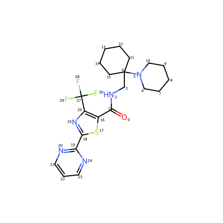 O=C(NCC1(N2CCCCC2)CCCCC1)c1sc(-c2ncccn2)nc1C(F)(F)F